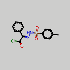 Cc1ccc(S(=O)(=O)N/N=C(/C(=O)Cl)c2ccccc2)cc1